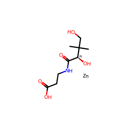 CC(C)(CO)[C@@H](O)C(=O)NCCC(=O)O.[Zn]